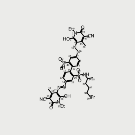 CCn1c(O)c(N=Nc2ccc(-c3ccc(N=Nc4c(C)c(C#N)c(=O)n(CC)c4O)cc3S(=O)(=O)NC(C)CCCC(C)C)c([SH](=O)=O)c2)c(C)c(C#N)c1=O